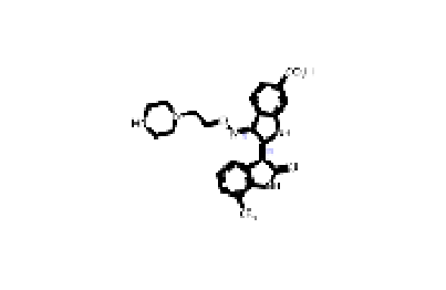 O=C1Nc2c(cccc2C(F)(F)F)/C1=C1/Nc2cc(C(=O)O)ccc2/C1=N\OCCN1CCNCC1